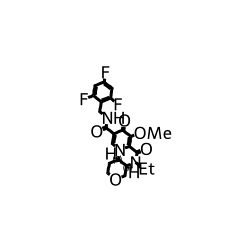 CCN1C(=O)c2c(OC)c(=O)c(C(=O)NCc3c(F)cc(F)cc3F)cn2[C@H]2CCOC[C@H]21